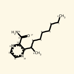 CCCCCCCC(C)c1nccnc1C(N)=O